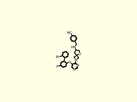 CC(C)c1ccccc1-c1cc(F)ccc1Oc1cncnc1N1CC2(CC(NCc3ccc(C#N)cc3)CO2)C1